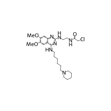 COc1cc2nc(NCCNC(=O)CCl)nc(NCCCCCCN3CCCCC3)c2cc1OC